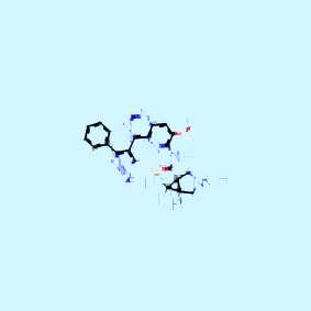 COc1cc2ncnc(-c3cn(C)nc3-c3ccccc3)c2nc1NC(=O)[C@@]12CN(C)C[C@@H]1C2(F)F